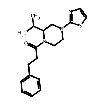 CC(C)C1CN(c2nccs2)CCN1C(=O)CCc1ccccc1